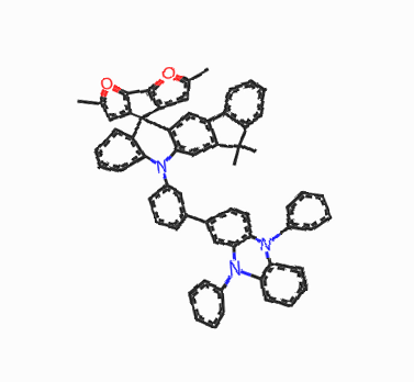 Cc1cc2c(o1)-c1oc(C)cc1C21c2ccccc2N(c2cccc(-c3ccc4c(c3)N(c3ccccc3)c3ccccc3N4c3ccccc3)c2)c2cc3c(cc21)-c1ccccc1C3(C)C